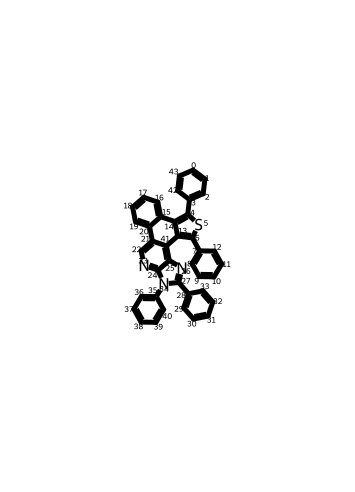 c1ccc(-c2sc(-c3ccccc3)c3c2c2ccccc2c2cnc4c(nc(-c5ccccc5)n4-c4ccccc4)c23)cc1